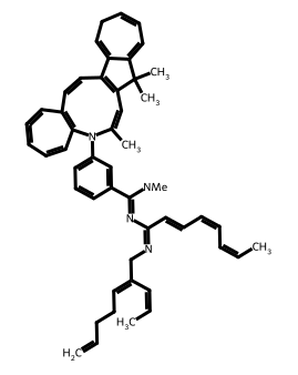 C=CCC/C=C(\C=C/C)C/N=C(/C=C/C=C\C=C/C)\N=C(/NC)c1cccc(-n2c(C)cc3c(ccc4c2C=CC=C=C4)C2=CCC=CC=C2C3(C)C)c1